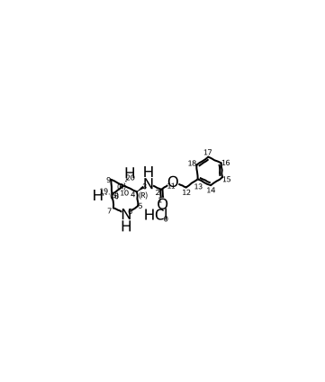 Cl.O=C(N[C@H]1CNC[C@H]2C[C@H]21)OCc1ccccc1